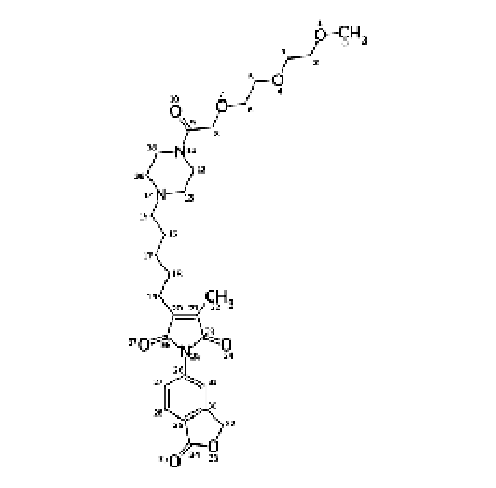 COCCOCCOCC(=O)N1CCN(CCCCCC2=C(C)C(=O)N(c3ccc4c(c3)COC4=O)C2=O)CC1